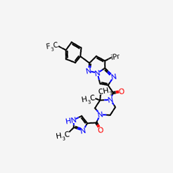 Cc1nc(C(=O)N2CCN(C(=O)c3cn4nc(-c5ccc(C(F)(F)F)cc5)cc(C(C)C)c4n3)C(C)(C)C2)c[nH]1